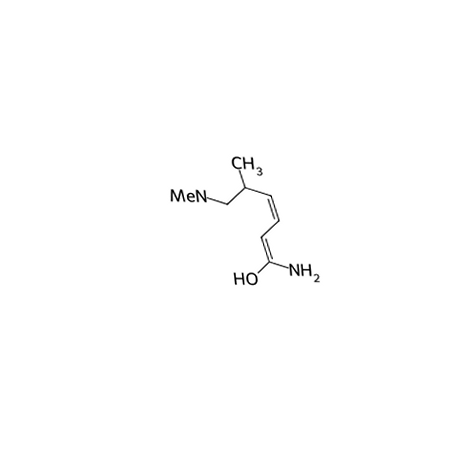 CNCC(C)/C=C\C=C(/N)O